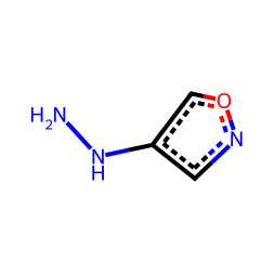 NNc1cnoc1